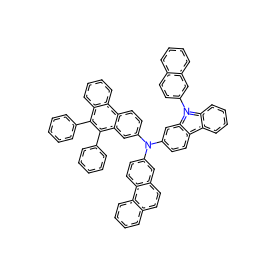 c1ccc(-c2c(-c3ccccc3)c3cc(N(c4ccc5c(ccc6ccccc65)c4)c4ccc5c6ccccc6n(-c6ccc7ccccc7c6)c5c4)ccc3c3ccccc23)cc1